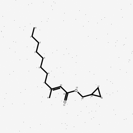 CCCCCCCC/C(C)=C/C(=O)OCC1CC1